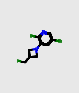 FCC1CN(c2cc(Br)cnc2F)C1